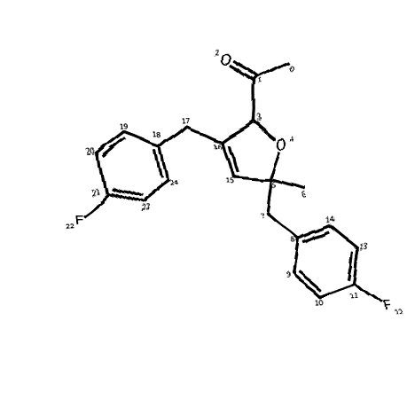 CC(=O)C1OC(C)(Cc2ccc(F)cc2)C=C1Cc1ccc(F)cc1